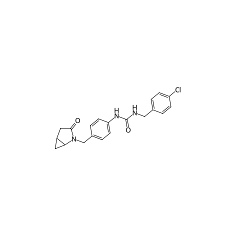 O=C(NCc1ccc(Cl)cc1)Nc1ccc(CN2C(=O)CC3CC32)cc1